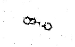 c1c(COC2CCCCO2)nn2c1CSCC2